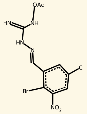 CC(=O)ONC(=N)NN=Cc1cc(Cl)cc([N+](=O)[O-])c1Br